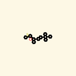 c1ccc(-c2c3ccccc3c(-c3ccc4cc(-c5cc6c7ccc8sc9ccccc9c8c7oc6c6ccccc56)ccc4c3)c3ccccc23)cc1